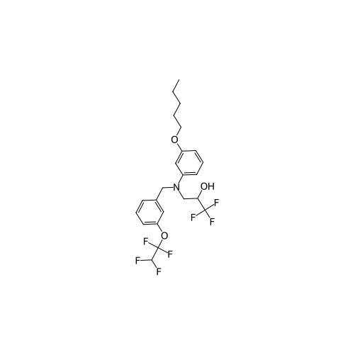 CCCCCOc1cccc(N(Cc2cccc(OC(F)(F)C(F)F)c2)CC(O)C(F)(F)F)c1